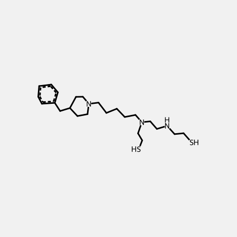 SCCNCCN(CCS)CCCCCN1CCC(Cc2ccccc2)CC1